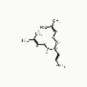 CC=CC(OCC=C(C)C)OCC=C(C)C